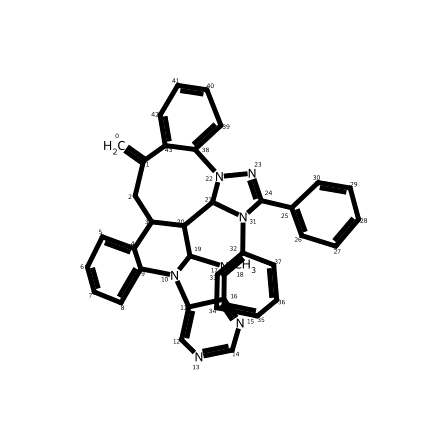 C=C1CC2c3ccccc3N3c4cncnc4N(C)C3C2C2N(N=C(c3ccccc3)N2c2ccccc2)c2ccccc21